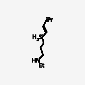 CCNCCC[SiH2]C=CC(C)C